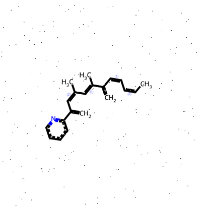 C=C(/C=C\C=C/C)/C(C)=C/C(C)=C\C(=C)c1ccccn1